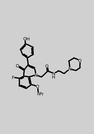 CCCOc1ccc(F)c2c(=O)c(-c3ccc(O)cc3)cn(CC(=O)NCCN3CCOCC3)c12